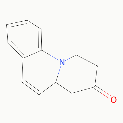 O=C1CCN2c3ccccc3C=CC2C1